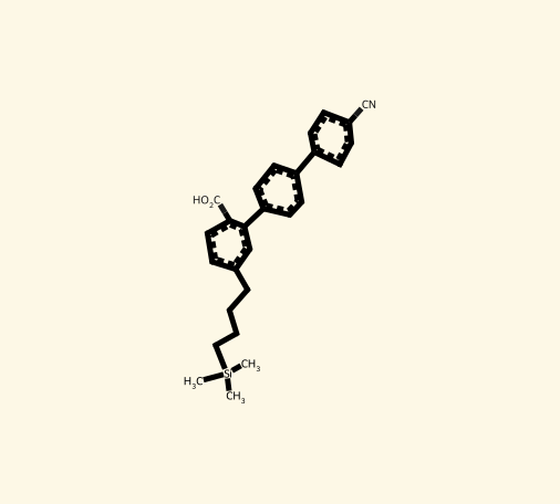 C[Si](C)(C)CCCCc1ccc(C(=O)O)c(-c2ccc(-c3ccc(C#N)cc3)cc2)c1